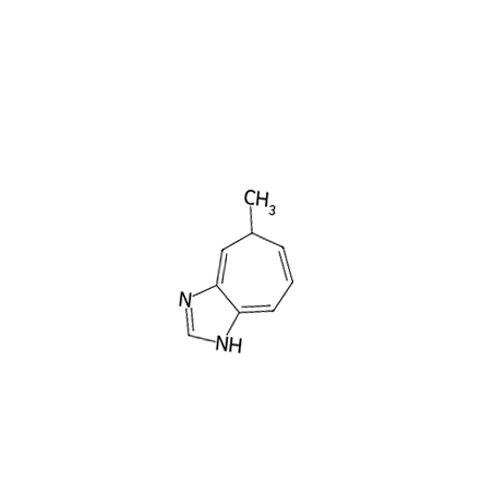 CC1C=CC=c2[nH]cnc2=C1